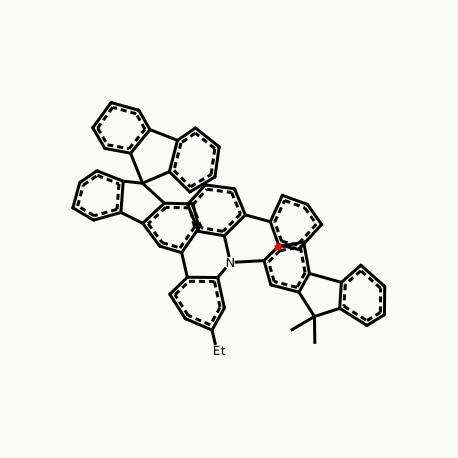 CCc1ccc(-c2ccc3c(c2)-c2ccccc2C32c3ccccc3-c3ccccc32)c(N(c2ccc3c(c2)C(C)(C)c2ccccc2-3)c2ccccc2-c2ccccc2)c1